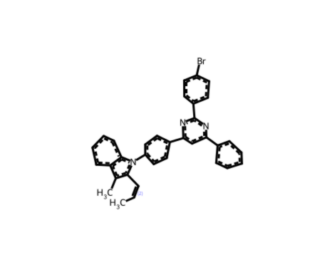 C/C=C\c1c(C)c2ccccc2n1-c1ccc(-c2cc(-c3ccccc3)nc(-c3ccc(Br)cc3)n2)cc1